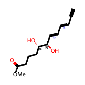 C#C/C=C/C=C/[C@@H](O)[C@@H](O)CCCC(=O)OC